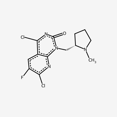 CN1CCC[C@H]1Cn1c(=O)nc(Cl)c2cc(F)c(Cl)nc21